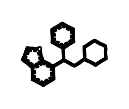 c1ccc(C(CC2CCCCC2)c2cccc3ccoc23)cc1